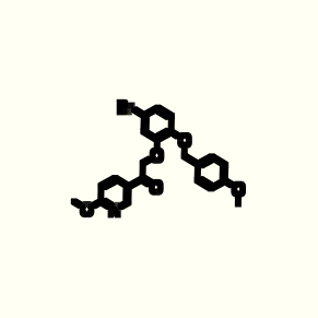 COc1ccc(COc2ccc(Br)cc2OCC(=O)c2ccc(OC)nc2)cc1